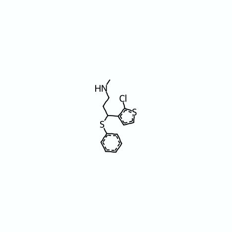 CNCCC(Sc1ccccc1)c1ccsc1Cl